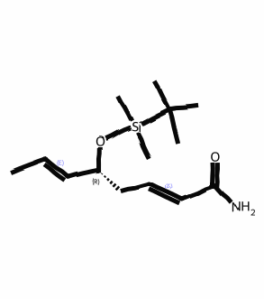 C/C=C/[C@@H](C/C=C/C(N)=O)O[Si](C)(C)C(C)(C)C